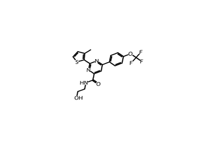 Cc1ccsc1-c1nc(C(=O)NCCO)cc(-c2ccc(OC(F)(F)F)cc2)n1